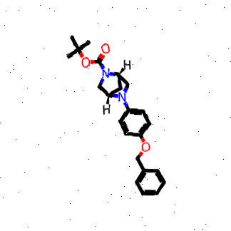 CC(C)(C)OC(=O)N1C[C@@H]2C[C@H]1CN2c1ccc(OCc2ccccc2)cc1